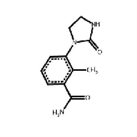 Cc1c(C(N)=O)cccc1N1CCNC1=O